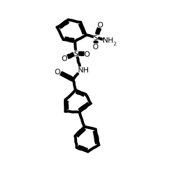 NS(=O)(=O)c1ccccc1S(=O)(=O)NC(=O)c1ccc(-c2ccccc2)cc1